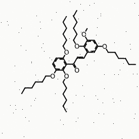 CCCCCCOc1cc(C=CC(=O)c2c(OCCCCCC)ccc(OCCCCCC)c2OCCCCCC)c(OCCCCCC)c(OC)c1